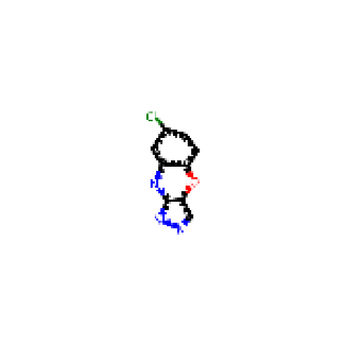 Clc1ccc2oc3cnnc-3nc2c1